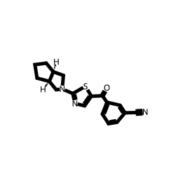 N#Cc1cccc(C(=O)c2cnc(N3C[C@H]4CCC[C@H]4C3)s2)c1